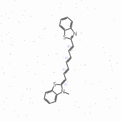 CN1/C(=C/C=C/C=C/C=C/c2nc3ccccc3s2)Sc2ccccc21